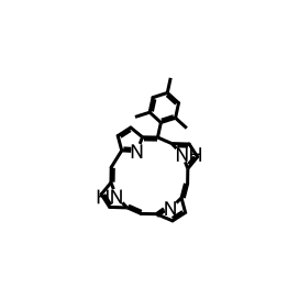 Cc1cc(C)c(-c2c3nc(cc4ccc(cc5nc(cc6ccc2[nH]6)C=C5)[nH]4)C=C3)c(C)c1